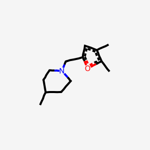 Cc1cc(CN2CCC(C)CC2)oc1C